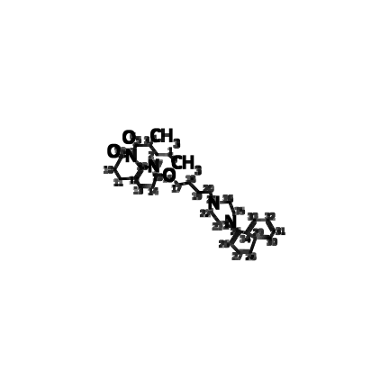 CCCC(C)C(=O)N1C(=O)CCc2ccc(OCCCCN3CCN(c4cccc5ccccc45)CC3)nc21